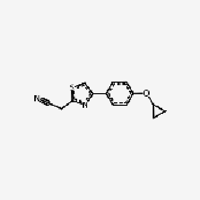 N#CCc1nc(-c2ccc(OC3CC3)cc2)cs1